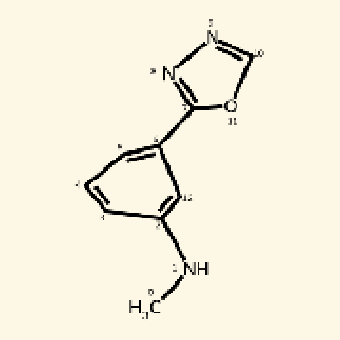 CNc1cccc(-c2nnco2)c1